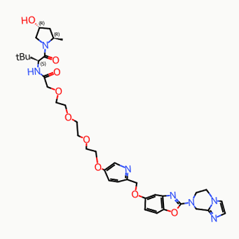 C[C@@H]1C[C@@H](O)CN1C(=O)[C@@H](NC(=O)COCCOCCOCCOc1ccc(COc2ccc3oc(N4CCn5ccnc5C4)nc3c2)nc1)C(C)(C)C